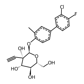 C#C[C@@]1(O)[C@@H](Oc2ccc(-c3ccc(F)c(Cl)c3)cc2C)O[C@H](CO)[C@@H](O)[C@@H]1O